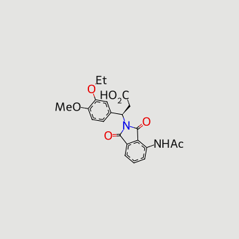 CCOc1cc([C@@H](CC(=O)O)N2C(=O)c3cccc(NC(C)=O)c3C2=O)ccc1OC